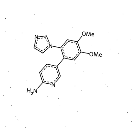 COc1cc(-c2ccc(N)nc2)c(-n2ccnc2)cc1OC